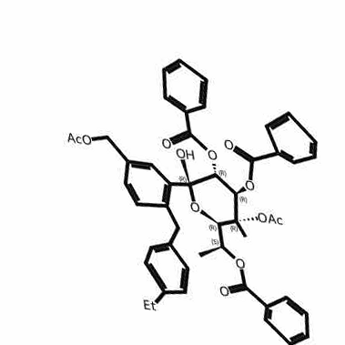 CCc1ccc(Cc2ccc(COC(C)=O)cc2[C@@]2(O)O[C@H]([C@H](C)OC(=O)c3ccccc3)[C@@](C)(OC(C)=O)[C@H](OC(=O)c3ccccc3)[C@H]2OC(=O)c2ccccc2)cc1